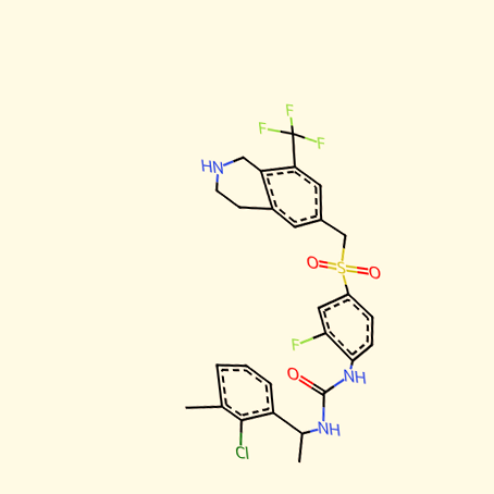 Cc1cccc(C(C)NC(=O)Nc2ccc(S(=O)(=O)Cc3cc4c(c(C(F)(F)F)c3)CNCC4)cc2F)c1Cl